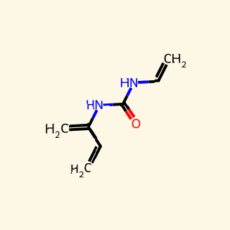 C=CNC(=O)NC(=C)C=C